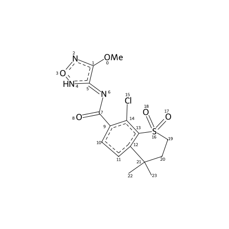 COc1no[nH]c1=NC(=O)c1ccc2c(c1Cl)S(=O)(=O)CCC2(C)C